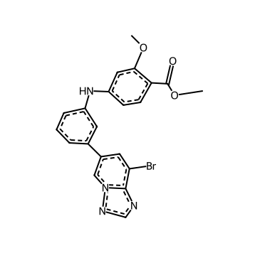 COC(=O)c1ccc(Nc2cccc(-c3cc(Br)c4ncnn4c3)c2)cc1OC